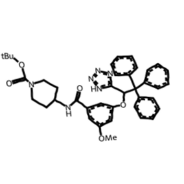 COc1cc(OC(c2nnn[nH]2)C(c2ccccc2)(c2ccccc2)c2ccccc2)cc(C(=O)NC2CCN(C(=O)OC(C)(C)C)CC2)c1